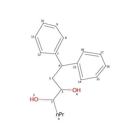 CCCC(O)C(O)CC(c1ccccc1)c1ccccc1